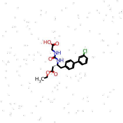 CCOC(=O)C[C@@H](Cc1ccc(-c2cccc(Cl)c2)cc1)NC(=O)NCC(=O)O